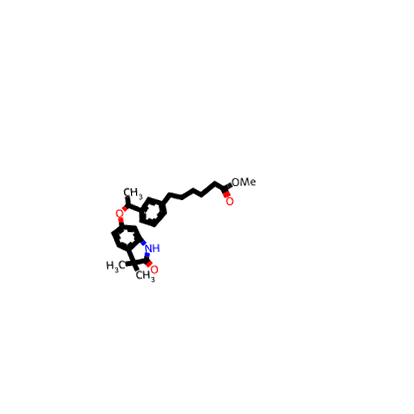 COC(=O)CCCCCc1cccc(C(C)Oc2ccc3c(c2)NC(=O)C3(C)C)c1